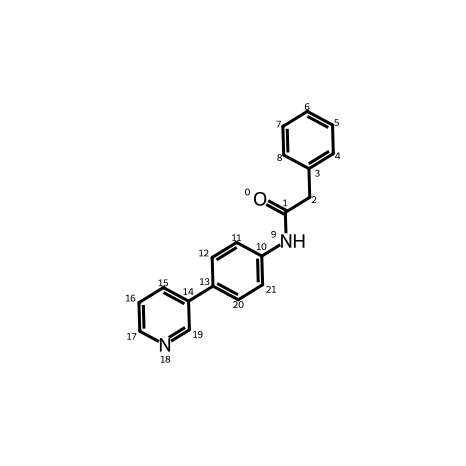 O=C(Cc1ccccc1)Nc1ccc(-c2cccnc2)cc1